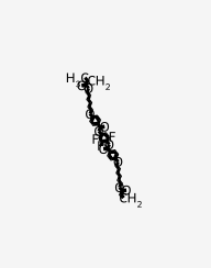 C=CC(=O)OCCCCCCOc1ccc(C(=O)Oc2c(F)cc(OC(=O)c3ccc(OCCCCCCOC(=O)C(=C)C)cc3)c(F)c2F)cc1